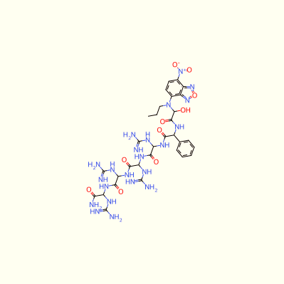 CCCN(c1ccc([N+](=O)[O-])c2nonc12)C(O)C(=O)NC(C(=O)NC(NC(=N)N)C(=O)NC(NC(=N)N)C(=O)NC(NC(=N)N)C(=O)NC(NC(=N)N)C(N)=O)c1ccccc1